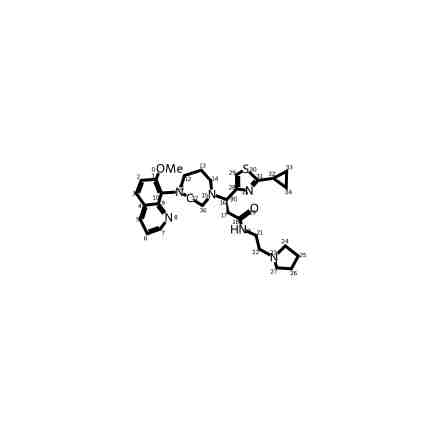 COc1ccc2cccnc2c1N1CCCN([C@H](CC(=O)NCCN2CCCC2)c2csc(C3CC3)n2)CC1